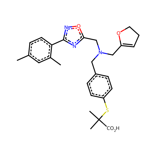 Cc1ccc(-c2noc(CN(CC3=CCCO3)Cc3ccc(SC(C)(C)C(=O)O)cc3)n2)c(C)c1